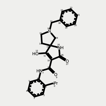 CC(C)c1ccccc1NC(=O)C1=C(O)C2(CCN(Cc3ccccc3)C2)NC1=O